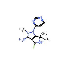 CN1C(N)C2=C(N1c1ccncn1)C(C)(C)NC2F